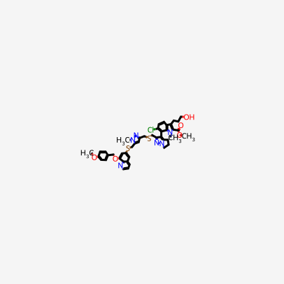 COC(=O)c1c(CCCO)c2ccc(Cl)c(-c3c(CSCc4cc(CSc5cc(OCc6ccc(OC)cc6)c6ncccc6c5)n(C)n4)nn4c3CCC4)c2n1C